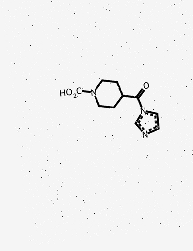 O=C(O)N1CCC(C(=O)n2ccnc2)CC1